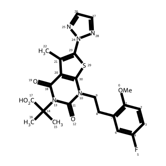 COc1ccc(F)cc1CCn1c(=O)n(C(C)(C)C(=O)O)c(=O)c2c(C)c(-n3nccn3)sc21